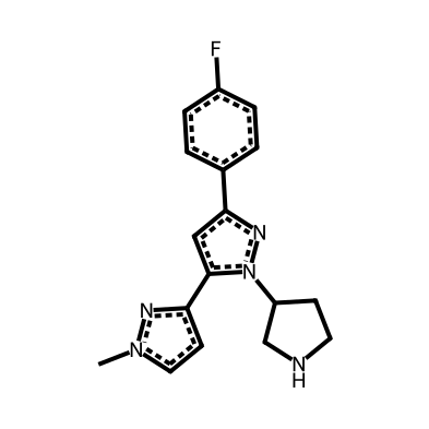 Cn1ccc(-c2cc(-c3ccc(F)cc3)nn2C2CCNC2)n1